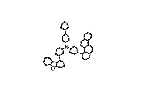 c1ccc(-c2ccc(N(c3ccc(-c4cccc5ccc6c7ccccc7ccc6c45)cc3)c3cccc(-c4cccc5oc6ccccc6c45)c3)cc2)cc1